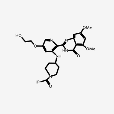 COc1cc(OC)c2c(=O)[nH]c(-c3ncc(OCCO)cc3NC3CCN(C(=O)C(C)C)CC3)nc2c1